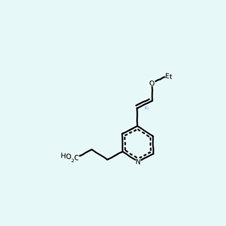 CCO/C=C/c1ccnc(CCC(=O)O)c1